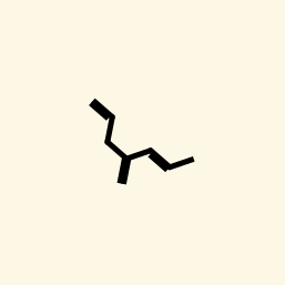 C=CCC(=C)C=CC